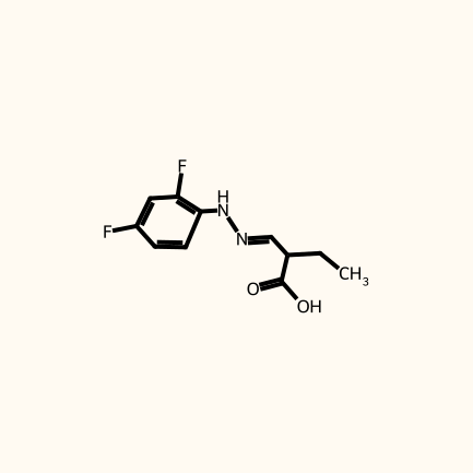 CCC(C=NNc1ccc(F)cc1F)C(=O)O